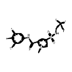 Cn1cc(S(=O)(=O)NCC(F)(F)F)cc1C(=O)Nc1cc(F)c(F)c(Cl)c1